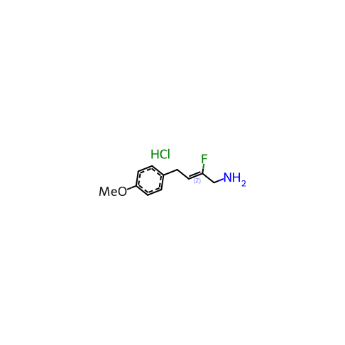 COc1ccc(C/C=C(\F)CN)cc1.Cl